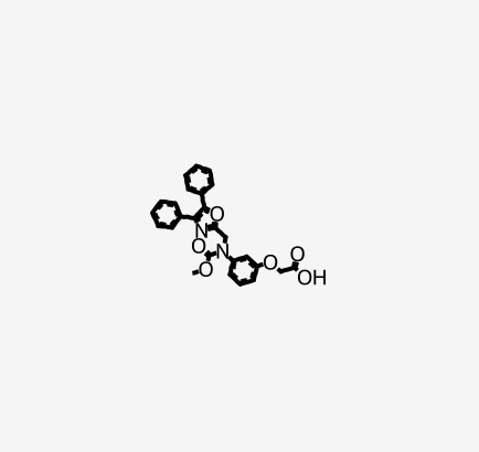 COC(=O)N(Cc1nc(-c2ccccc2)c(-c2ccccc2)o1)c1cccc(OCC(=O)O)c1